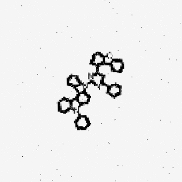 c1ccc(-c2cc(-c3cccc4oc5ccccc5c34)nc(-n3c4ccccc4c4c5c6ccccc6n(-c6ccccc6)c5ccc43)n2)cc1